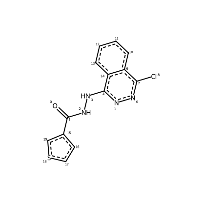 O=C(NNc1nnc(Cl)c2ccccc12)c1ccsc1